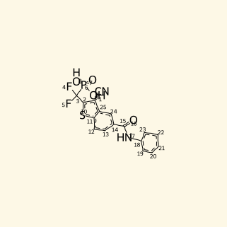 N#Cc1c(C(F)(F)P(=O)(O)O)sc2ccc(C(=O)Nc3ccccc3)cc12